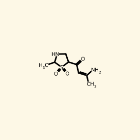 CC(N)=CC(=O)C1CNC(C)S1(=O)=O